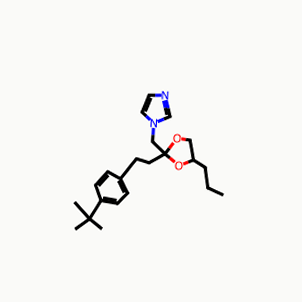 CCCC1COC(CCc2ccc(C(C)(C)C)cc2)(Cn2ccnc2)O1